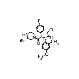 Cc1cc(OC(F)(F)F)ccc1N(C(=O)CCl)[C@@H](C(=O)N1CCN[C@@H](C(C)C)C1)c1ccc(F)cc1